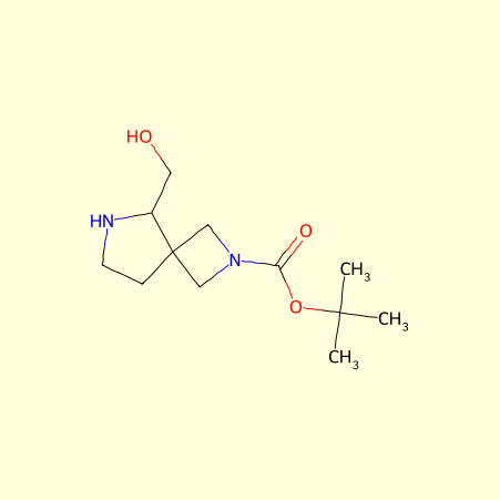 CC(C)(C)OC(=O)N1CC2(CCNC2CO)C1